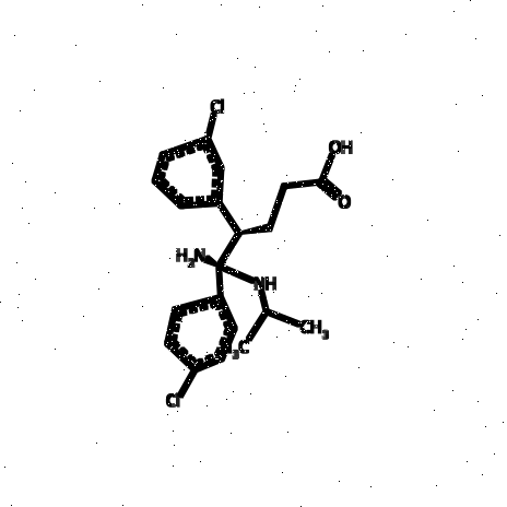 CC(C)N[C@](N)(c1ccc(Cl)cc1)[C@H](CCC(=O)O)c1cccc(Cl)c1